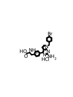 Cl.Nc1nc(-c2ccc(C[C@H](N)C(=O)O)cc2)c2ccn(Cc3ccc(Br)cc3)c2n1